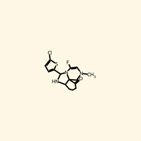 CN1C=C(F)N2C(c3ccc(Cl)s3)NC3CCCC(=O)C32C1